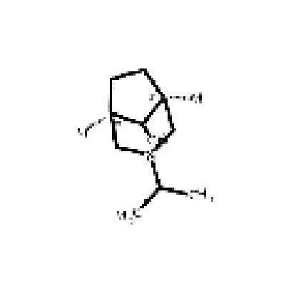 CC(C)N1C[C@H]2CC[C@@H](C1)C2O